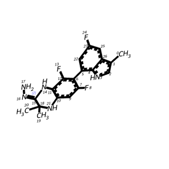 Cc1c[nH]c2c(-c3c(F)cc4c(c3F)N/C(=N\N)C(C)(C)N4)cc(F)cc12